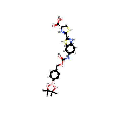 CC1(C)OB(c2ccc(COC(=O)Nc3ccc4nc(C5=N[C@@H](C(=O)O)CS5)sc4c3)cc2)OC1(C)C